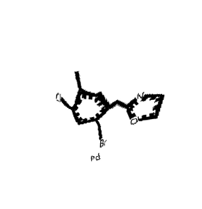 Cc1cc(-c2ncco2)c(Br)cc1Cl.[Pd]